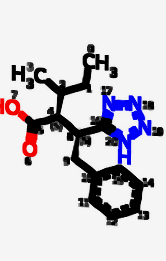 CCC(C)[C@H](C(=O)O)[C@H](Cc1ccccc1)c1nnn[nH]1